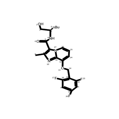 CCCC[C@H](CO)NC(=O)c1c(C)nc2c(OCc3c(F)cc(F)cc3F)cccn12